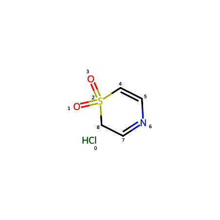 Cl.O=S1(=O)C=CN=CC1